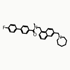 CN(Cc1cccc2cc(CN3CCCCCC3)ccc12)C(=O)c1ccc(-c2ccc(F)cc2)cc1